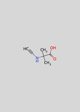 C#CNC(C)(C)C(=O)O